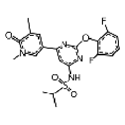 Cc1cc(-c2cc(NS(=O)(=O)C(C)C)nc(Oc3c(F)cccc3F)n2)cn(C)c1=O